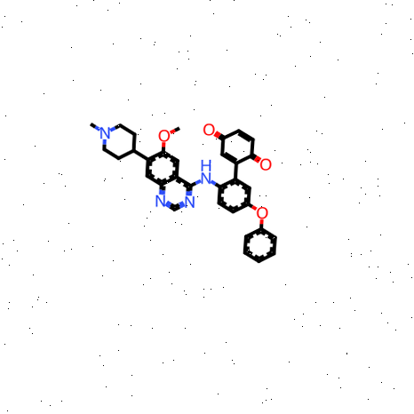 COc1cc2c(Nc3ccc(Oc4ccccc4)cc3C3=CC(=O)C=CC3=O)ncnc2cc1C1CCN(C)CC1